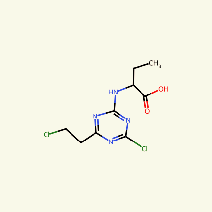 CCC(Nc1nc(Cl)nc(CCCl)n1)C(=O)O